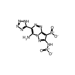 Nc1c(-c2nnn[nH]2)nnc2c([N+](=O)[O-])c(N[N+](=O)[O-])nn12